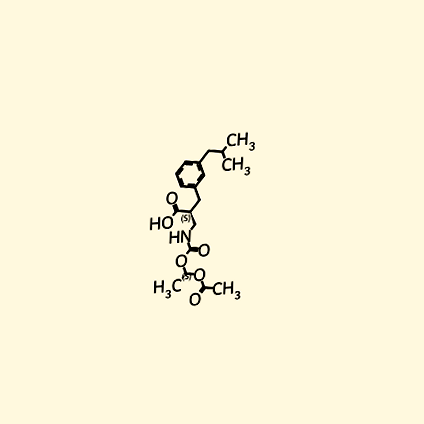 CC(=O)O[C@H](C)OC(=O)NC[C@H](Cc1cccc(CC(C)C)c1)C(=O)O